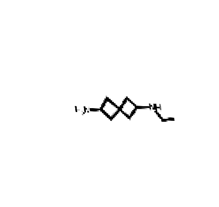 CCNC1CC2(CC(N)C2)C1